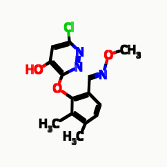 CO/N=C/c1ccc(C)c(C)c1Oc1nnc(Cl)cc1O